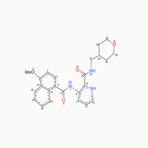 COc1ccc(C(=O)Nc2cccnc2C(=O)NCC2CCOCC2)c2ccccc12